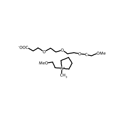 COCCOCCOCCOCCC(=O)[O-].COCC[N+]1(C)CCCC1